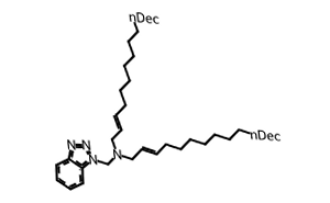 CCCCCCCCCCCCCCCCCC=CCN(CC=CCCCCCCCCCCCCCCCCC)Cn1nnc2ccccc21